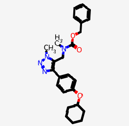 CN(Cc1c(-c2ccc(OC3CCCCC3)cc2)nnn1C)C(=O)OCc1ccccc1